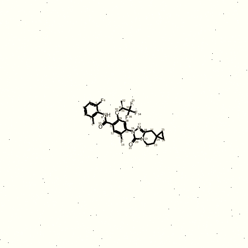 Cc1cccc(F)c1NC(=O)c1cc(F)c(-n2nc3n(c2=O)CCC2(CC2)C3)cc1O[C@@H](C)C(F)(F)F